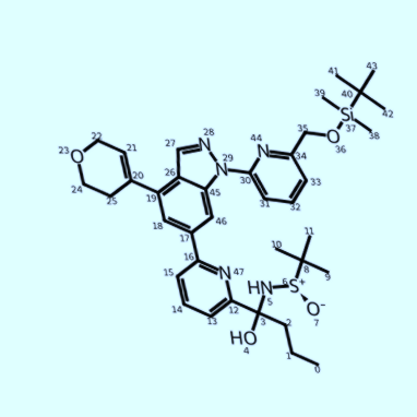 CCCC(O)(N[S@+]([O-])C(C)(C)C)c1cccc(-c2cc(C3=CCOCC3)c3cnn(-c4cccc(CO[Si](C)(C)C(C)(C)C)n4)c3c2)n1